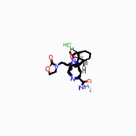 CO[C@]1(c2ccnc(C(N)=O)c2)[C@@H]2CCC[C@H]1CN(CCN1CCOC1=O)C2.Cl